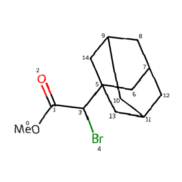 COC(=O)C(Br)C12CC3CC(CC(C3)C1)C2